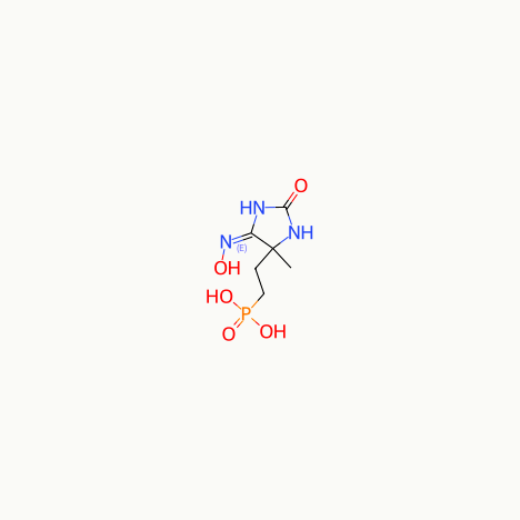 CC1(CCP(=O)(O)O)NC(=O)N/C1=N/O